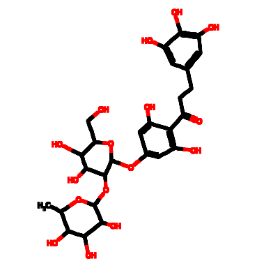 CC1OC(OC2C(Oc3cc(O)c(C(=O)CCc4cc(O)c(O)c(O)c4)c(O)c3)OC(CO)C(O)C2O)C(O)C(O)C1O